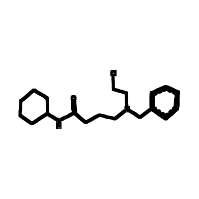 O=C(CCCN(CCCl)Cc1ccccc1)NC1CCCCC1